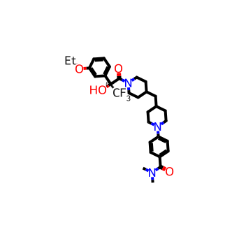 CCOc1cccc([C@@](O)(C(=O)N2CCC(CC3CCN(c4ccc(C(=O)N(C)C)cc4)CC3)CC2)C(F)(F)F)c1